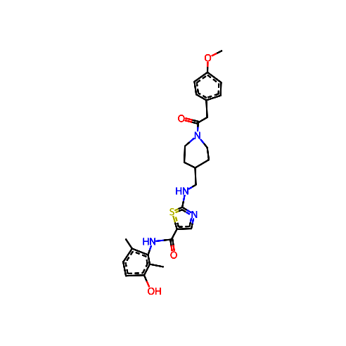 COc1ccc(CC(=O)N2CCC(CNc3ncc(C(=O)Nc4c(C)ccc(O)c4C)s3)CC2)cc1